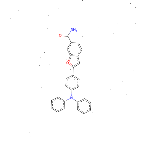 NC(=O)c1ccc2cc(-c3ccc(N(c4ccccc4)c4ccccc4)cc3)oc2c1